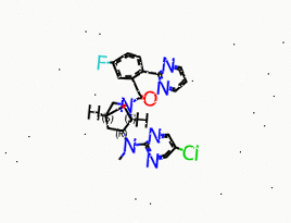 CN(c1ncc(Cl)cn1)[C@@H]1C[C@H]2C[C@@H]1N(C(=O)c1cc(F)ccc1-c1ncccn1)C2